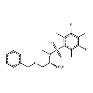 CN([C@H](COCc1ccccc1)C(=O)O)S(=O)(=O)c1c(F)c(F)c(F)c(F)c1F